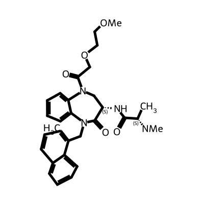 CN[C@@H](C)C(=O)N[C@H]1CN(C(=O)COCCOC)c2ccccc2N(Cc2c(C)ccc3ccccc23)C1=O